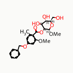 COc1cc(OCc2ccccc2)cc(C)c1C(=O)O[C@H]1[C@@H](OC)O[C@H](CO)[C@@H](O)[C@@H]1O